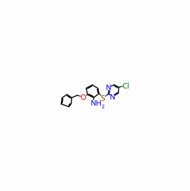 Nc1c(OCc2ccccc2)cccc1Sc1ncc(Cl)cn1